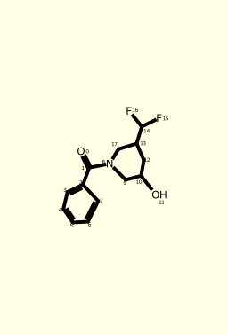 O=C(c1ccccc1)N1CC(O)CC(C(F)F)C1